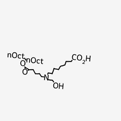 CCCCCCCCC(CCCCCCCC)OC1OC1CCCCN(CCO)CCCCCCCCC(=O)O